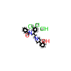 CN(CC(CCN1CCC(c2ccccc2O)CC1)c1ccc(Cl)c(Cl)c1)C(=O)c1ccccc1.Cl